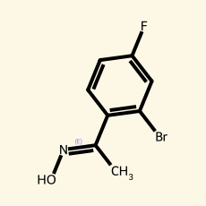 C/C(=N\O)c1ccc(F)cc1Br